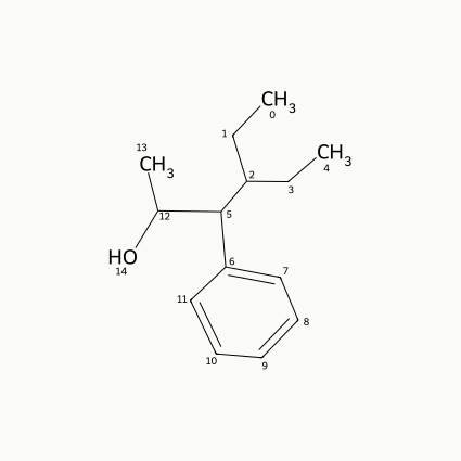 CCC(CC)C(c1ccccc1)C(C)O